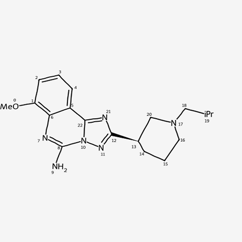 COc1cccc2c1nc(N)n1nc([C@@H]3CCCN(CC(C)C)C3)nc21